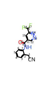 N#CCc1ccccc1NC(=O)c1cnnc(C(F)F)c1